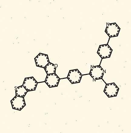 c1ccc(-c2nc(-c3ccc(-c4cccnc4)cc3)nc(-c3ccc(-c4ccc(-c5ccc6sc7ccccc7c6c5)c5c4oc4ccccc45)cc3)n2)cc1